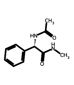 CNC(=O)[C@@H](NC(C)=O)c1ccccc1